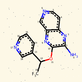 Nc1nc2ccncc2nc1OC(c1cccnc1)C(F)(F)F